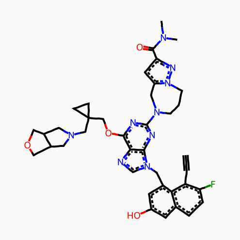 C#Cc1c(F)ccc2cc(O)cc(Cn3cnc4c(OCC5(CN6CC7COCC7C6)CC5)nc(N5CCCn6nc(C(=O)N(C)C)cc6C5)nc43)c12